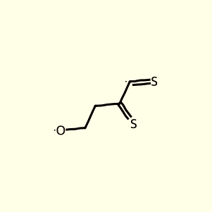 [O]CCC(=S)[C]=S